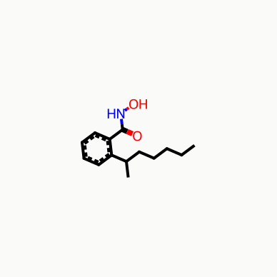 CCCCCC(C)c1ccccc1C(=O)NO